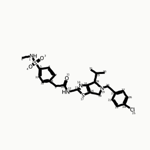 CNS(=O)(=O)c1ccc(CC(=O)Nc2nc3c(s2)CN(Cc2ccc(Cl)cc2)C3C(C)C)cc1